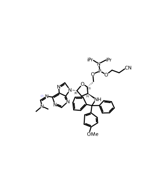 COc1ccc(C(N[C@H]2C[C@H](n3cnc4c(/N=C\N(C)C)ncnc43)O[C@@H]2COP(OCCC#N)N(C(C)C)C(C)C)(c2ccccc2)c2ccccc2)cc1